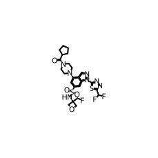 O=C(C1CCCC1)N1CCN(c2cc(S(=O)(=O)NC3(CF)COC3)cc3c2cnn3-c2nnc(C(F)F)s2)CC1